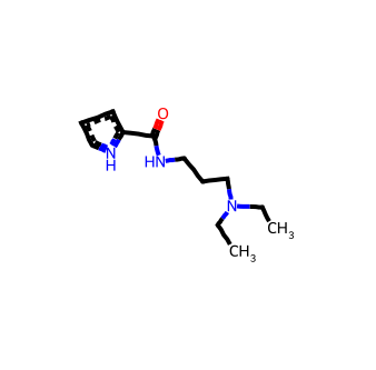 CCN(CC)CCCNC(=O)c1ccc[nH]1